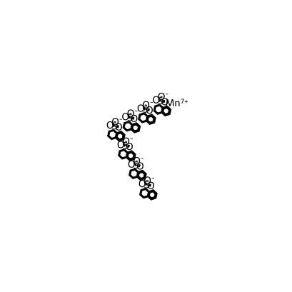 O=S(=O)([O-])C1CCCc2ccccc21.O=S(=O)([O-])C1CCCc2ccccc21.O=S(=O)([O-])C1CCCc2ccccc21.O=S(=O)([O-])C1CCCc2ccccc21.O=S(=O)([O-])C1CCCc2ccccc21.O=S(=O)([O-])C1CCCc2ccccc21.O=S(=O)([O-])C1CCCc2ccccc21.[Mn+7]